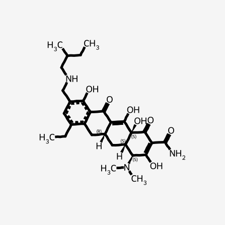 CCc1cc(CNCC(C)CC)c(O)c2c1C[C@H]1C[C@H]3[C@H](N(C)C)C(O)=C(C(N)=O)C(=O)[C@@]3(O)C(O)=C1C2=O